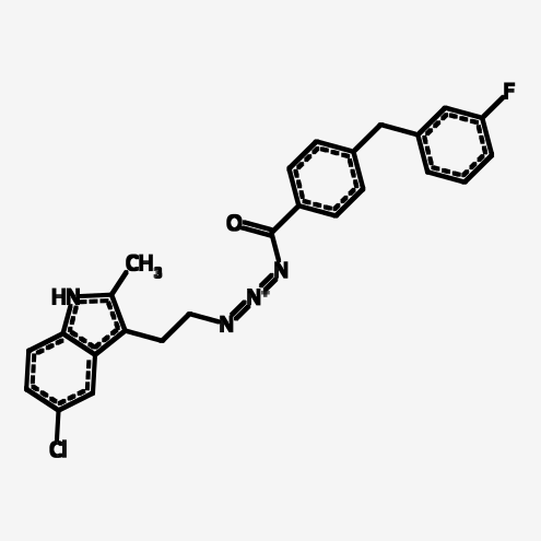 Cc1[nH]c2ccc(Cl)cc2c1CCN=[N+]=NC(=O)c1ccc(Cc2cccc(F)c2)cc1